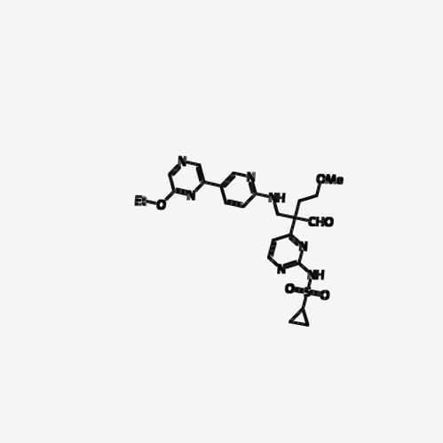 CCOc1cncc(-c2ccc(NCC(C=O)(CCOC)c3ccnc(NS(=O)(=O)C4CC4)n3)nc2)n1